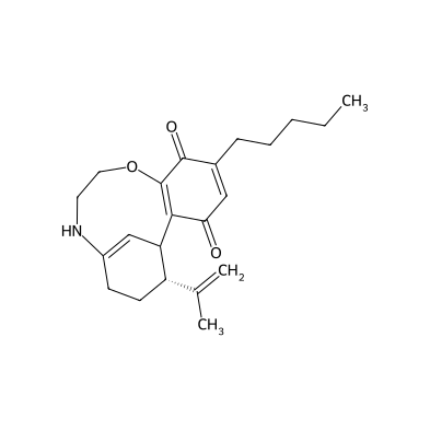 C=C(C)[C@@H]1CCC2=CC1C1=C(OCCN2)C(=O)C(CCCCC)=CC1=O